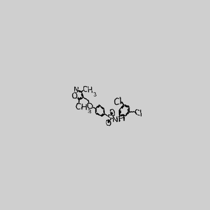 Cc1noc(C)c1COc1ccc(S(=O)(=O)Nc2cc(Cl)cc(Cl)c2)cc1